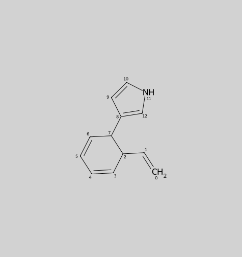 C=CC1C=CC=CC1c1cc[nH]c1